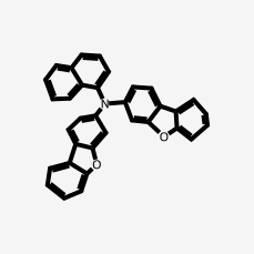 c1ccc2c(N(c3ccc4c(c3)oc3ccccc34)c3ccc4c(c3)oc3ccccc34)cccc2c1